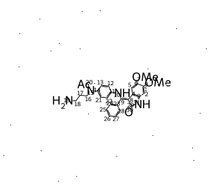 COc1cc2c(cc1OC)C(=C(Nc1ccc(N(CCCN)C(C)=O)cc1)c1ccccc1)C(=O)N2